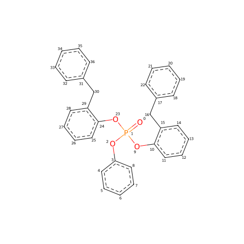 O=P(Oc1ccccc1)(Oc1ccccc1Cc1ccccc1)Oc1ccccc1Cc1ccccc1